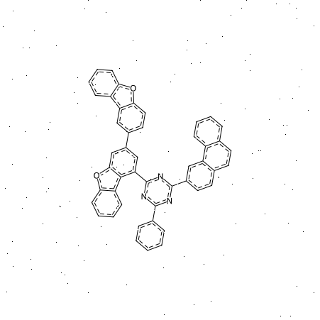 c1ccc(-c2nc(-c3ccc4ccc5ccccc5c4c3)nc(-c3cc(-c4ccc5oc6ccccc6c5c4)cc4oc5ccccc5c34)n2)cc1